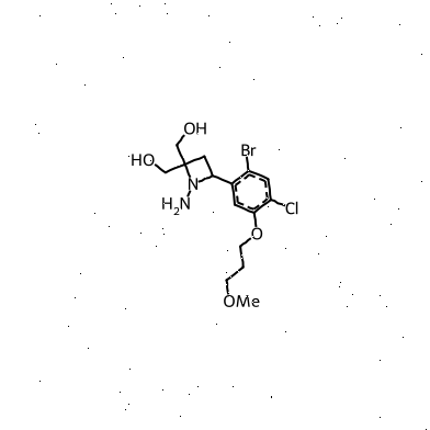 COCCCOc1cc(C2CC(CO)(CO)N2N)c(Br)cc1Cl